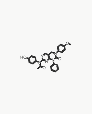 COc1ccc(N2Cc3cnc(N(C(C)=O)c4ccc(O)cc4)nc3N(c3ccccc3)C2=O)cc1